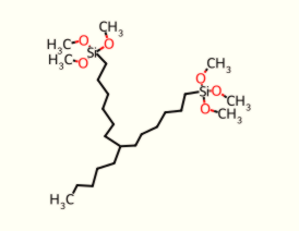 CCCCCC(CCCCCC[Si](OC)(OC)OC)CCCCCC[Si](OC)(OC)OC